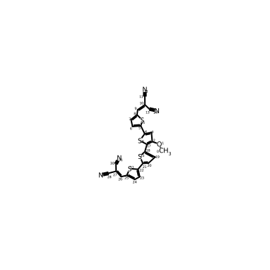 COc1cc(-c2ccc(C=C(C#N)C#N)s2)sc1-c1ccc(-c2ccc(C=C(C#N)C#N)s2)s1